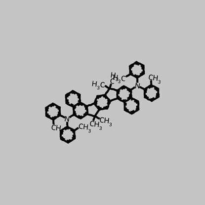 Cc1ccccc1N(c1ccccc1C)c1cc2c(c3ccccc13)-c1cc3c(cc1C2(C)C)-c1c(cc(N(c2ccccc2C)c2ccccc2C)c2ccccc12)C3(C)C